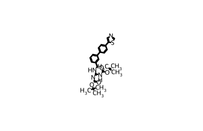 CC(C)(C)OC(=O)/N=C(/NCc1cccc(-c2ccc(-c3cncs3)cc2)c1)NC(=O)OC(C)(C)C